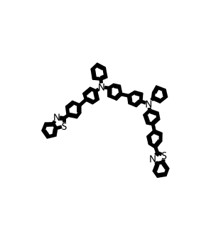 c1ccc(N(c2ccc(-c3ccc(-c4nc5ccccc5s4)cc3)cc2)c2ccc(-c3ccc(N(c4ccccc4)c4ccc(-c5ccc(-c6nc7ccccc7s6)cc5)cc4)cc3)cc2)cc1